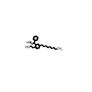 CCCCCCCCCc1ccc(CCO)c(C(=NO)c2ccccc2)c1